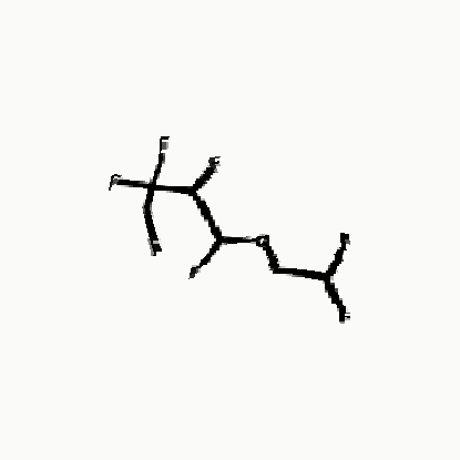 FC(F)COC(F)C(F)C(F)(F)F